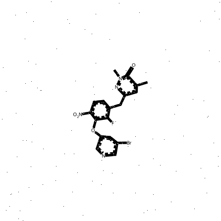 Cc1cc(Cc2ccc([N+](=O)[O-])c(Oc3cncc(Br)c3)c2F)nn(C)c1=O